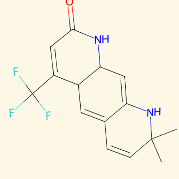 CC1(C)C=CC2=CC3C(C(F)(F)F)=CC(=O)NC3C=C2N1